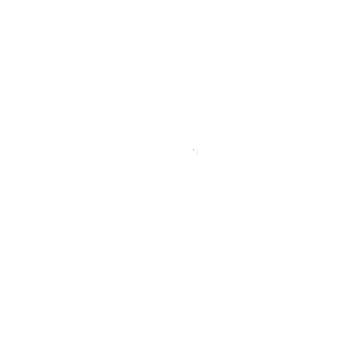 c1ccc2nc3c(cc2c1)CCC3